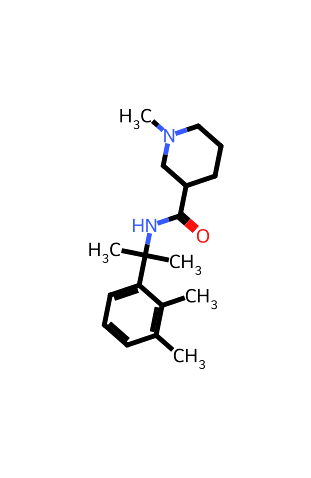 Cc1cccc(C(C)(C)NC(=O)C2CCCN(C)C2)c1C